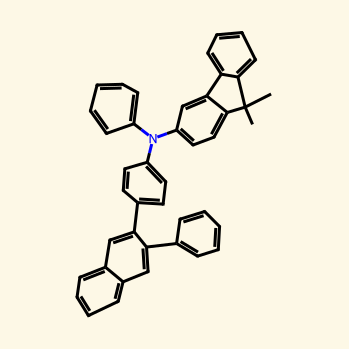 CC1(C)c2ccccc2-c2cc(N(c3ccccc3)c3ccc(-c4cc5ccccc5cc4-c4ccccc4)cc3)ccc21